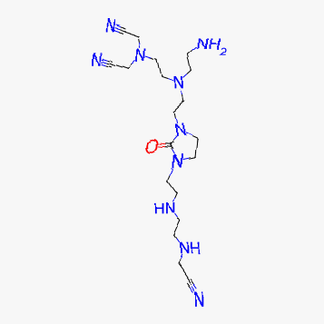 N#CCNCCNCCN1CCN(CCN(CCN)CCN(CC#N)CC#N)C1=O